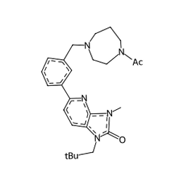 CC(=O)N1CCCN(Cc2cccc(-c3ccc4c(n3)n(C)c(=O)n4CC(C)(C)C)c2)CC1